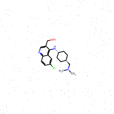 CN(C)C[C@H]1CC[C@H](Nc2c(CO)cnc3ccc(Cl)cc23)CC1